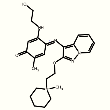 CC1=C/C(=N\c2c(OCC[N+]3(C)CCCCC3)nn3ccccc23)C(NCCO)=CC1=O